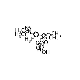 CC(C)Cc1cc(-c2ccc(Cn3ccnc3C(C)(C)C)c(F)c2)c(OC(=O)N(CCO)[SH](=O)=O)s1